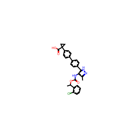 Cc1n[nH]c(-c2ccc(-c3ccc(C4(C(=O)O)CC4)cc3)cc2)c1NC(=O)OC(C)c1ccccc1Cl